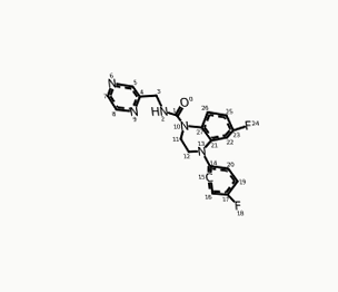 O=C(NCc1cnccn1)N1CCN(c2ccc(F)cc2)c2cc(F)ccc21